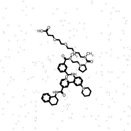 CN(CCN1CCC[C@H]1C(=O)N(C)CCOCCOCCOCCC(=O)O)C(=O)c1cccc(C(=O)Nc2ccc(N3CCCCC3)cc2-c2cc(C(=O)NC3CCCc4ccccc43)ccn2)c1